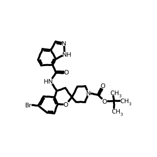 CC(C)(C)OC(=O)N1CCC2(CC1)CC(NC(=O)c1cccc3cn[nH]c13)c1cc(Br)ccc1O2